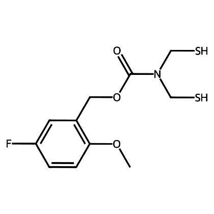 COc1ccc(F)cc1COC(=O)N(CS)CS